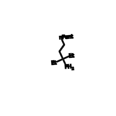 CCCCCCCC(P)(CC)CC